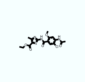 CCOC(=O)c1sc(NC(=O)c2cc(Cl)c(NC(C)=O)cc2OC)nc1C